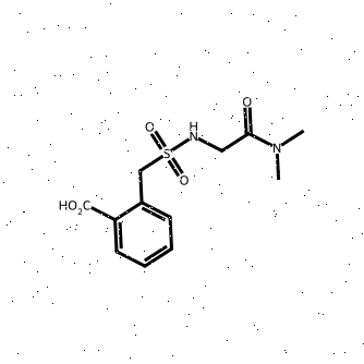 CN(C)C(=O)CNS(=O)(=O)Cc1ccccc1C(=O)O